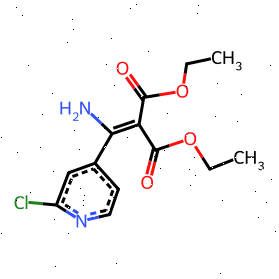 CCOC(=O)C(C(=O)OCC)=C(N)c1ccnc(Cl)c1